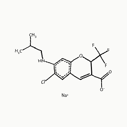 CC(C)CNc1cc2c(cc1Cl)C=C(C(=O)[O-])C(C(F)(F)F)O2.[Na+]